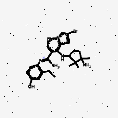 CCc1cc(O)ccc1/N=C(\N)c1cnn2cc(Br)cc2c1NC1CCC(C)(N)C1(C)C